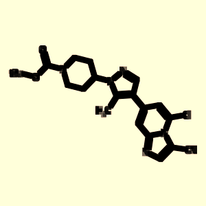 Cc1c(-c2cc(Cl)n3c(C#N)cnc3c2)cnn1C1CCN(C(=O)OC(C)(C)C)CC1